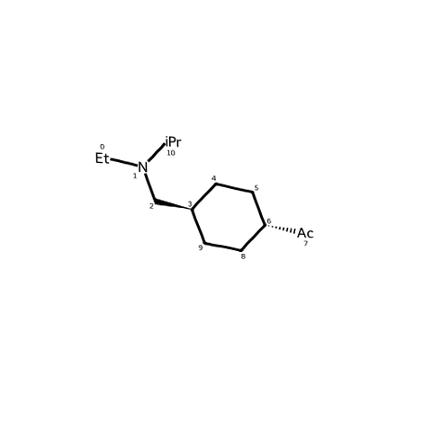 CCN(C[C@H]1CC[C@H](C(C)=O)CC1)C(C)C